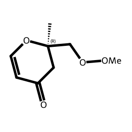 COOC[C@@]1(C)CC(=O)C=CO1